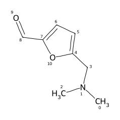 CN(C)Cc1ccc(C=O)o1